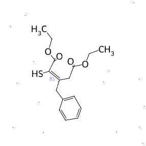 CCOC(=O)C/C(Cc1ccccc1)=C(/S)C(=O)OCC